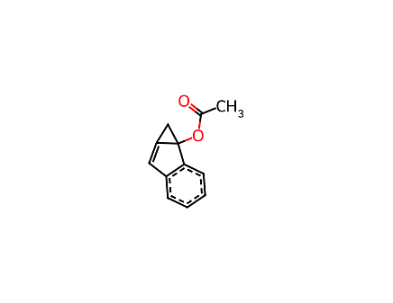 CC(=O)OC12CC1=Cc1ccccc12